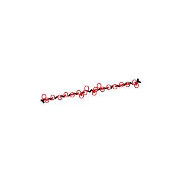 C=C(C)C(=O)OCCOCCOCCOCCOCCOC(=O)COC(=O)CCC(=O)OCC(=O)OCCOCCOCCOCCOCCOC(=O)C(=C)C